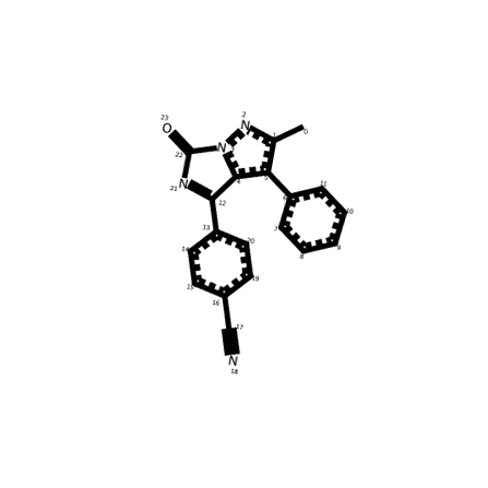 Cc1nn2c(c1-c1ccccc1)C(c1ccc(C#N)cc1)=NC2=O